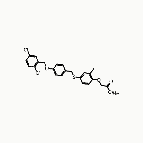 COC(=O)COc1ccc(SCc2ccc(OCc3cc(Cl)ccc3Cl)cc2)cc1C